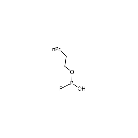 CCCCCOP(O)F